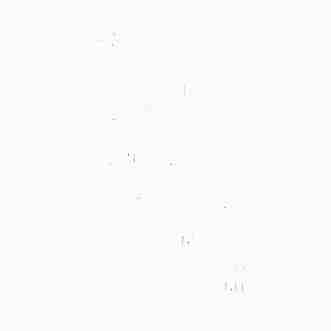 O=C1NOCC1NC(=S)c1ccc(N2CCC(c3cc(Cl)c(Cl)c(C(F)(F)F)c3)(C(F)(F)F)C2)cc1